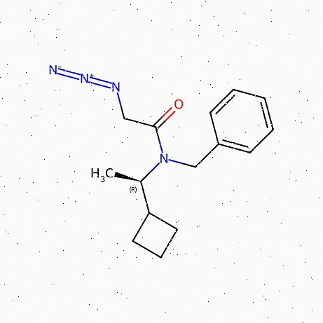 C[C@H](C1CCC1)N(Cc1ccccc1)C(=O)CN=[N+]=[N-]